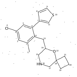 Cc1cc(Cl)cc(-c2ccsc2)c1CC1CNCC2(CCC2)O1